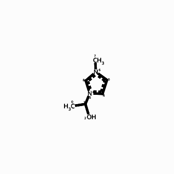 CC(O)[n+]1ccn(C)c1